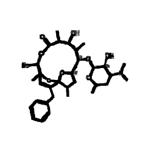 CCC1OC(=O)C(C)C(O)C(C)[C@@H](OC2OC(C)CC(N(C)C)[C@H]2O)[C@]2(C)CC(C)C3(OC1(C)C=C3Cc1ccccc1)O2